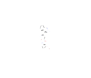 O=C(Nc1cccc(OC(F)(F)F)c1)c1cc(-c2cncc3ccccc23)c[nH]c1=O